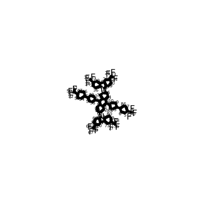 FC(F)(F)c1ccc(-c2ccc(-c3c4ccc(-n5c6ccc(C(F)(F)F)cc6c6cc(C(F)(F)F)ccc65)cc4c(-c4ccc(-c5ccc(C(F)(F)F)cc5)cc4)c4ccc(-n5c6ccc(C(F)(F)F)cc6c6cc(C(F)(F)F)ccc65)cc34)cc2)cc1